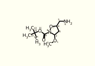 COC1CC(CN)ON1C(=O)OC(C)(C)C